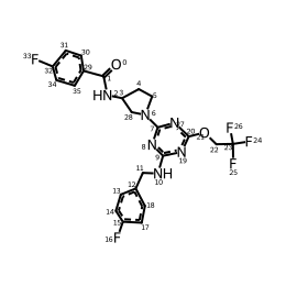 O=C(NC1CCN(c2nc(NCc3ccc(F)cc3)nc(OCC(F)(F)F)n2)C1)c1ccc(F)cc1